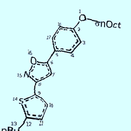 CCCCCCCCOc1ccc(-c2cc(-c3ccc(CCCC)s3)no2)cc1